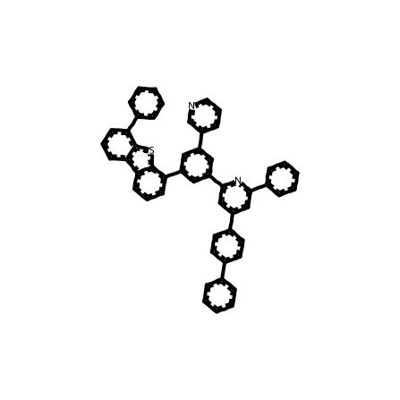 c1ccc(-c2ccc(-c3cc(-c4ccccc4)nc(-c4cc(-c5cccnc5)cc(-c5cccc6c5sc5c(-c7ccccc7)cccc56)c4)c3)cc2)cc1